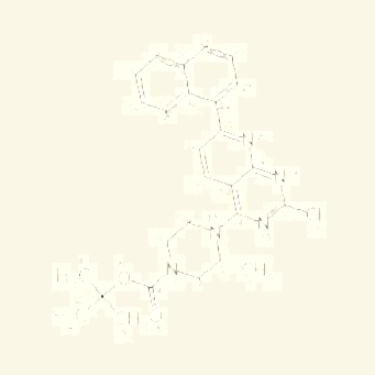 C[C@@H]1CN(C(=O)OC(C)(C)C)CCN1c1nc(Cl)nc2nc(-c3cccc4ccccc34)ccc12